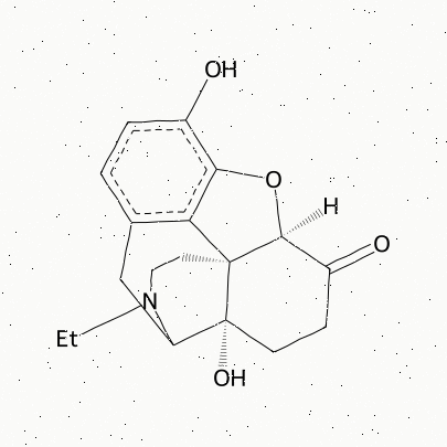 CCN1CC[C@]23c4c5ccc(O)c4O[C@H]2C(=O)CC[C@@]3(O)C1C5